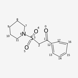 O=C(CS(=O)(=O)N1CCCCC1)c1ccccc1